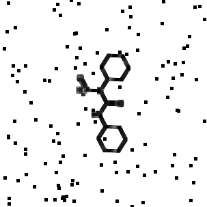 O=[PH2]N(C(=O)NC1CCCCC1)C1CCCCC1